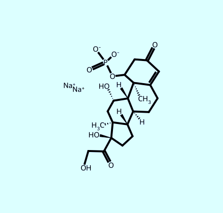 C[C@]12C[C@H](O)[C@H]3[C@@H](CCC4=CC(=O)CC(OP(=O)([O-])[O-])[C@@]43C)[C@@H]1CC[C@]2(O)C(=O)CO.[Na+].[Na+]